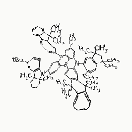 Cc1cc2c3c(c1)N(c1cc4c(cc1C)C(C)(C)CC4(C)C)c1cc4c(cc1B3c1ccc(N3c5ccc(C(C)(C)C)cc5C5(C)CCCCC35C)cc1N2c1ccc2c(c1)C(C)(C)c1ccccc1-2)C(C)(C)c1ccccc1C4(C)C